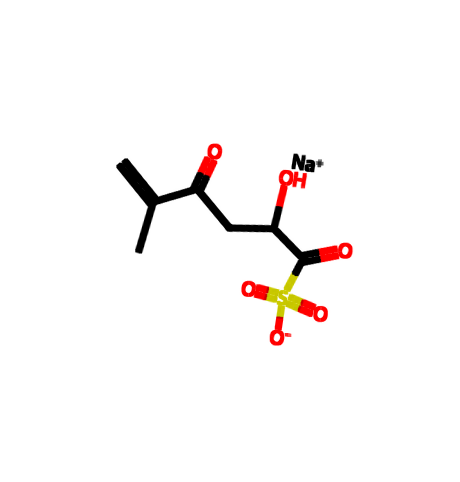 C=C(C)C(=O)CC(O)C(=O)S(=O)(=O)[O-].[Na+]